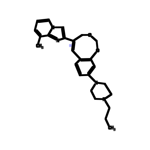 CCCN1CCN(c2ccc3c(c2)OCOC/C(c2cn4cccc(C)c4n2)=C\3)CC1